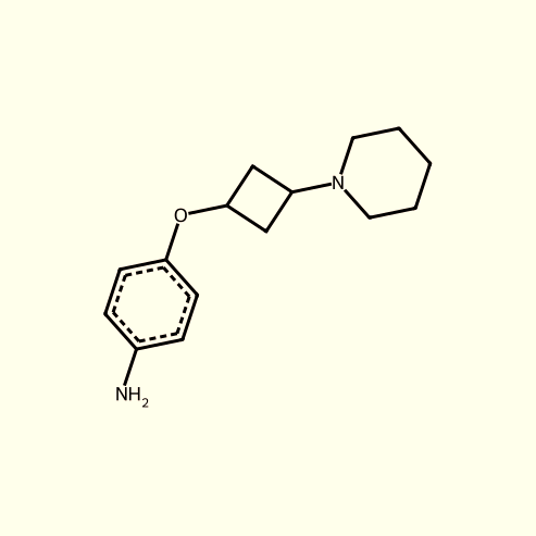 Nc1ccc(OC2CC(N3CCCCC3)C2)cc1